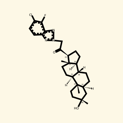 C[C@@]1(O)CC[C@@]2(C)[C@@H](CC[C@@H]3[C@@H]2CC[C@]2(C)[C@@H](C(=O)Cn4nc5ccc(Cl)c(F)c5n4)CC[C@@H]32)C1